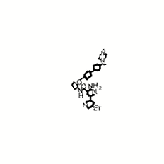 CCc1cncc(-c2cnc(N)c(C(=O)N[C@H]3CCCC3OCc3ccc(-c4ccc(C(C)N5CCN(C)CC5)cc4)cc3)c2)c1